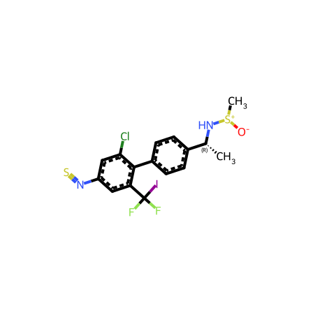 C[C@@H](N[S+](C)[O-])c1ccc(-c2c(Cl)cc(N=S)cc2C(F)(F)I)cc1